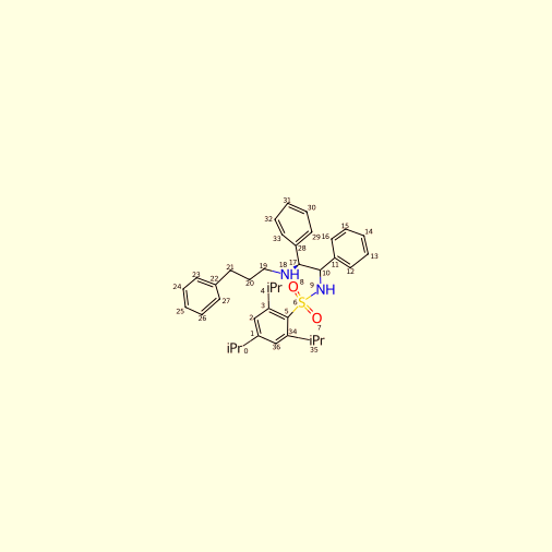 CC(C)c1cc(C(C)C)c(S(=O)(=O)NC(c2ccccc2)[C@@H](NCCCc2ccccc2)c2ccccc2)c(C(C)C)c1